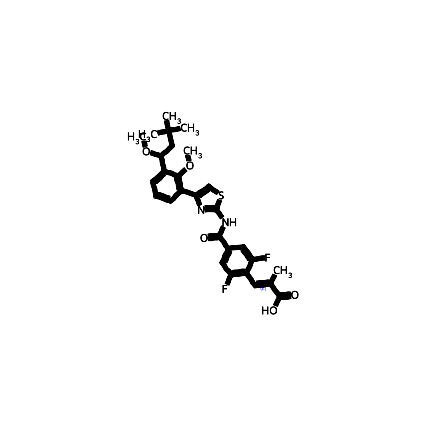 COc1c(-c2csc(NC(=O)c3cc(F)c(/C=C(\C)C(=O)O)c(F)c3)n2)cccc1C(CC(C)(C)C)OC